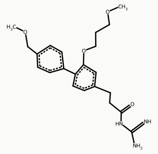 COCCCOc1cc(CCC(=O)NC(=N)N)ccc1-c1ccc(COC)cc1